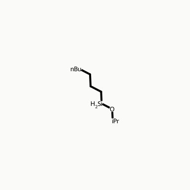 CCCCCCC[SiH2]OC(C)C